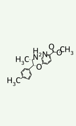 COC(=O)c1ccc(O[C@H](c2ccc(C)cc2)[C@H](C)N)cn1